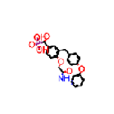 NC(=O)COc1ccc(C(=O)P(=O)(O)O)cc1Cc1ccc(Oc2ccccc2)cc1